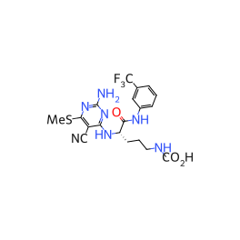 CSc1nc(N)nc(N[C@@H](CCCNC(=O)O)C(=O)Nc2cccc(C(F)(F)F)c2)c1C#N